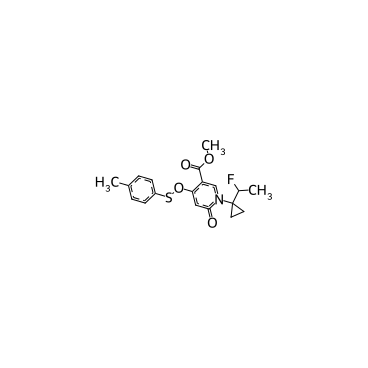 COC(=O)c1cn(C2(C(C)F)CC2)c(=O)cc1OSc1ccc(C)cc1